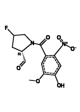 COc1cc(C(=O)N2CC(F)C[C@H]2C=O)c([N+](=O)[O-])cc1O